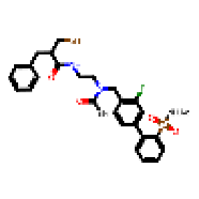 CCCC(=O)N(CCNC(=O)C(CS)Cc1ccccc1)Cc1ccc(-c2ccccc2S(=O)(=O)NC(C)=O)cc1F